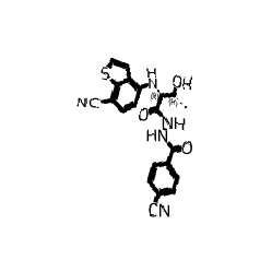 C[C@@H](O)[C@@H](Nc1ccc(C#N)c2sccc12)C(=O)NNC(=O)c1ccc(C#N)cc1